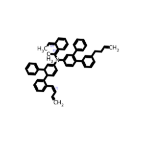 C=C/C=C\c1ccccc1C1C=CC(N(/C(C)=c2\cccc\c2=C\C)c2ccc(-c3cccc(CCC=C)c3)c(-c3ccccc3)c2)=CC1c1ccccc1